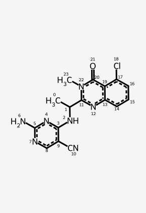 CC(Nc1nc(N)ncc1C#N)c1nc2cccc(Cl)c2c(=O)n1C